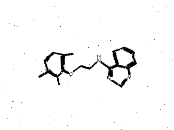 Cc1ccc(C)c(OCCNc2ncnc3ccccc23)c1C